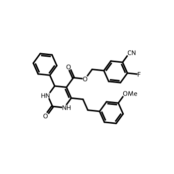 COc1cccc(CCC2=C(C(=O)OCc3ccc(F)c(C#N)c3)C(c3ccccc3)NC(=O)N2)c1